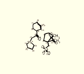 CC1(C)C2CCC1(CS(=O)(=O)[O-])C(=O)C2.O=C(C[S+]1CCCC1)C1CCCCC1